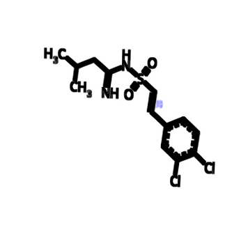 CC(C)CC(=N)NS(=O)(=O)/C=C/c1ccc(Cl)c(Cl)c1